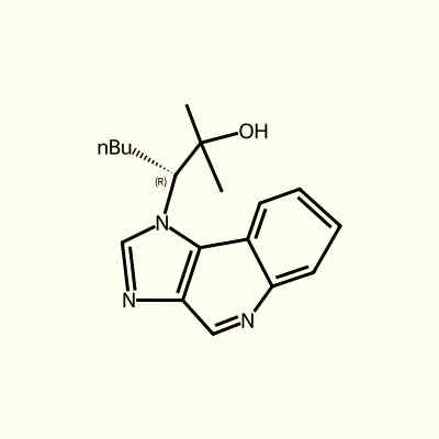 CCCC[C@@H](n1cnc2cnc3ccccc3c21)C(C)(C)O